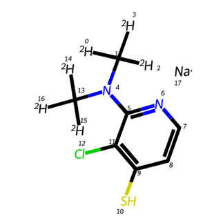 [2H]C([2H])([2H])N(c1nccc(S)c1Cl)C([2H])([2H])[2H].[Na]